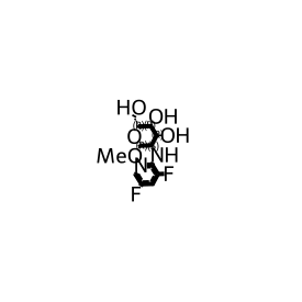 CO[C@@H]1O[C@H](CO)[C@H](O)[C@H](O)[C@@H]1Nc1ncc(F)cc1F